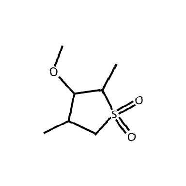 COC1C(C)CS(=O)(=O)C1C